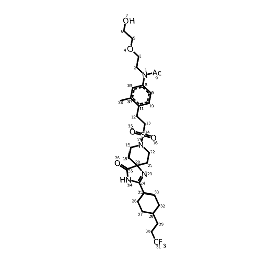 CC(=O)N(CCOCCO)c1ccc(CCS(=O)(=O)N2CCC3(CC2)N=C(C2CCC(CCC(F)(F)F)CC2)NC3=O)c(C)c1